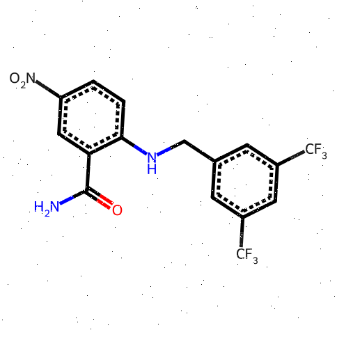 NC(=O)c1cc([N+](=O)[O-])ccc1NCc1cc(C(F)(F)F)cc(C(F)(F)F)c1